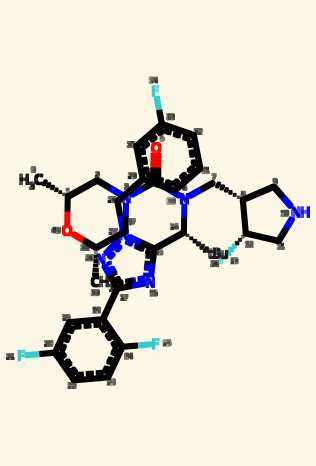 C[C@@H]1CN(C(=O)N(C[C@@H]2CNC[C@@H]2F)[C@@H](c2nc(-c3cc(F)ccc3F)nn2Cc2cccc(F)c2)C(C)(C)C)C[C@H](C)O1